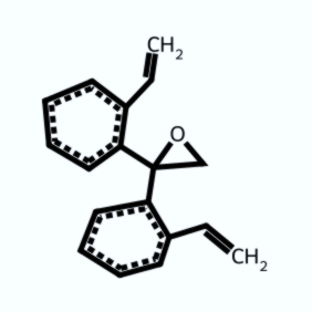 C=Cc1ccccc1C1(c2ccccc2C=C)CO1